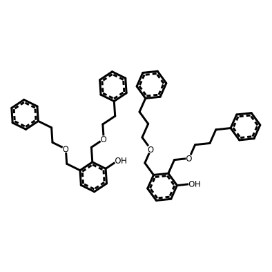 Oc1cccc(COCCCc2ccccc2)c1COCCCc1ccccc1.Oc1cccc(COCCc2ccccc2)c1COCCc1ccccc1